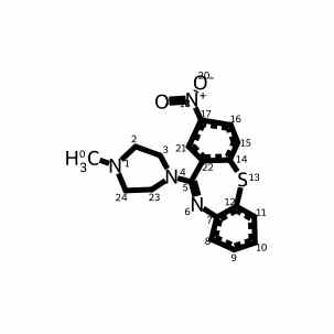 CN1CCN(C2=Nc3ccccc3Sc3ccc([N+](=O)[O-])cc32)CC1